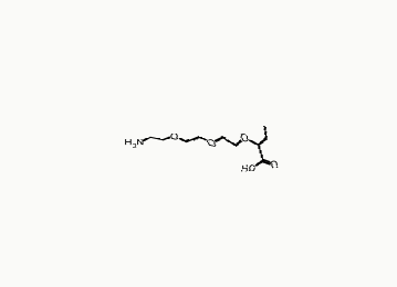 CCC(OCCOCCOCCN)C(=O)O